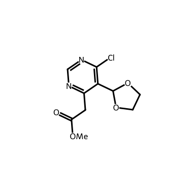 COC(=O)Cc1ncnc(Cl)c1C1OCCO1